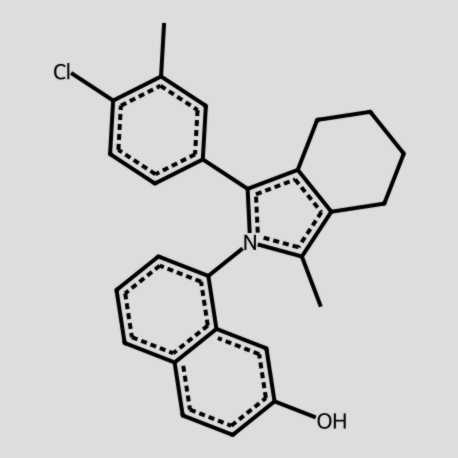 Cc1cc(-c2c3c(c(C)n2-c2cccc4ccc(O)cc24)CCCC3)ccc1Cl